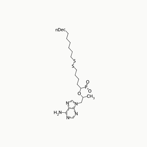 CCCCCCCCCCCCCCCCSSCCCCC(OC(C)Cn1cnc2c(N)ncnc21)P(=O)=O